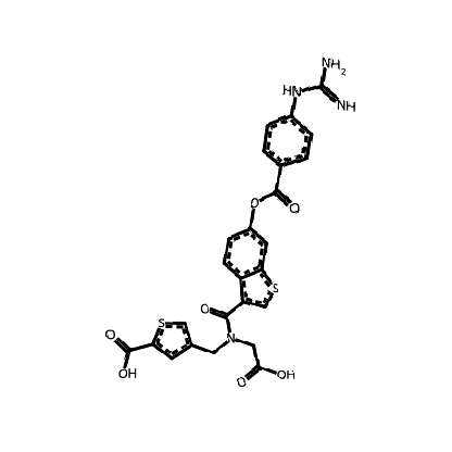 N=C(N)Nc1ccc(C(=O)Oc2ccc3c(C(=O)N(CC(=O)O)Cc4csc(C(=O)O)c4)csc3c2)cc1